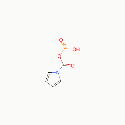 O=C(O[PH](=O)O)n1cccc1